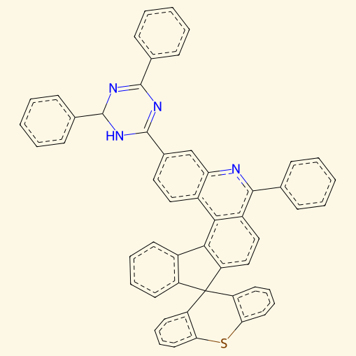 c1ccc(C2=NC(c3ccccc3)NC(c3ccc4c(c3)nc(-c3ccccc3)c3ccc5c(c34)-c3ccccc3C53c4ccccc4Sc4ccccc43)=N2)cc1